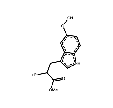 CCCC(Cc1c[nH]c2ccc(OO)cc12)C(=O)OC